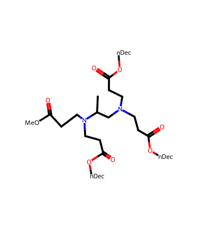 CCCCCCCCCCOC(=O)CCN(CCC(=O)OCCCCCCCCCC)CC(C)N(CCC(=O)OC)CCC(=O)OCCCCCCCCCC